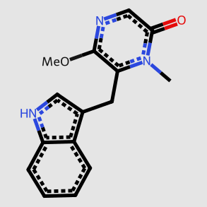 COc1ncc(=O)n(C)c1Cc1c[nH]c2ccccc12